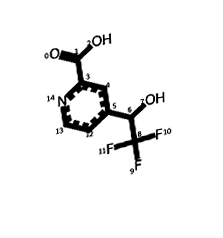 O=C(O)c1cc(C(O)C(F)(F)F)ccn1